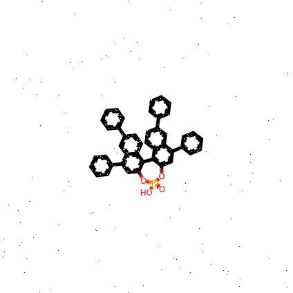 O=P1(O)Oc2cc(-c3ccccc3)c3cc(-c4ccccc4)ccc3c2-c2c(cc(-c3ccccc3)c3cc(-c4ccccc4)ccc23)O1